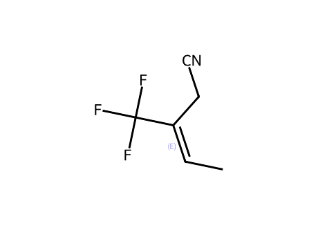 C/C=C(\CC#N)C(F)(F)F